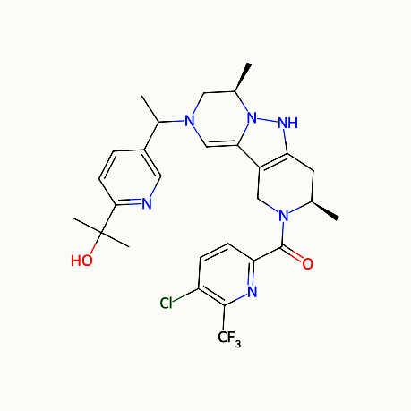 CC(c1ccc(C(C)(C)O)nc1)N1C=C2C3=C(C[C@@H](C)N(C(=O)c4ccc(Cl)c(C(F)(F)F)n4)C3)NN2[C@H](C)C1